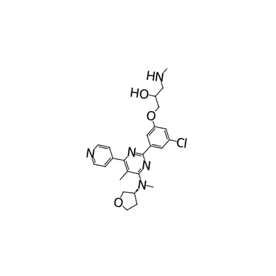 CNCC(O)COc1cc(Cl)cc(-c2nc(-c3ccncc3)c(C)c(N(C)[C@H]3CCOC3)n2)c1